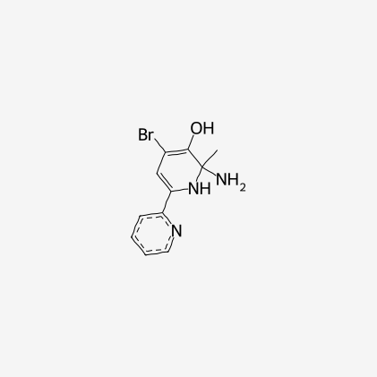 CC1(N)NC(c2ccccn2)=CC(Br)=C1O